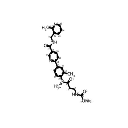 COC(=O)NCCC(=O)N(C)c1ccc(-c2ccc(C(=O)NCc3cccnc3C)cn2)cc1C